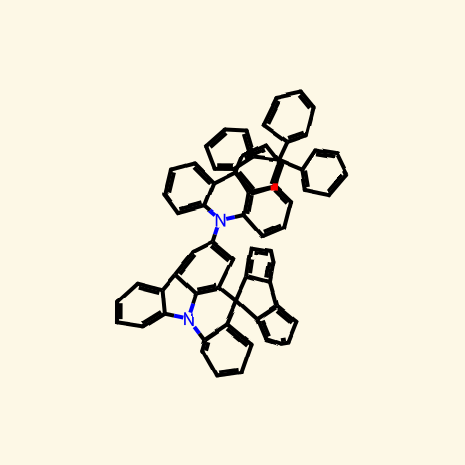 c1ccc(-c2ccccc2N(c2cc3c4c(c2)c2ccccc2n4-c2ccccc2C32c3ccccc3-c3ccccc32)c2cccc3c2-c2ccccc2C3(c2ccccc2)c2ccccc2)cc1